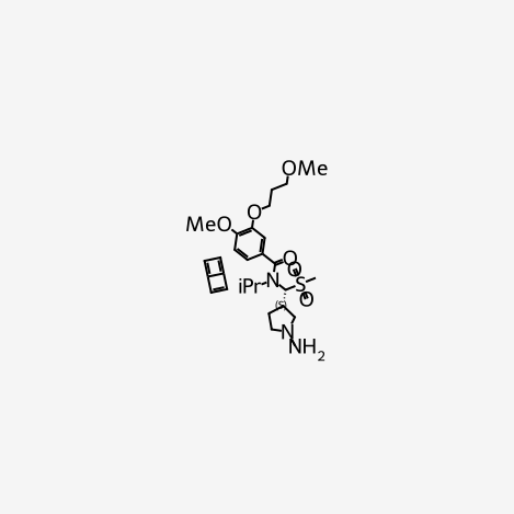 COCCCOc1cc(C(=O)N(C(C)C)C([C@H]2CCN(N)C2)S(C)(=O)=O)ccc1OC.c1cc2ccc1-2